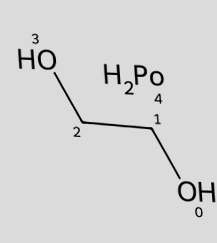 OCCO.[PoH2]